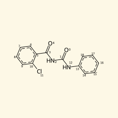 O=C(NC(=O)c1ccccc1Cl)Nc1c[c]ccc1